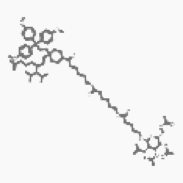 C=C(C)CCCC(CCC1(CCC(c2ccc(OC)cc2)(c2ccc(OC)cc2)c2ccc(OC)cc2)CCC(C(=O)CCCCCOC(=O)CCCCCOC(=O)CCCCO[C@@H]2O[C@H](COC(C)=O)[C@H](OC(C)=O)[C@H](OC(C)=O)[C@H]2CC(C)C)CC1)C(C(C)C)C(C)C